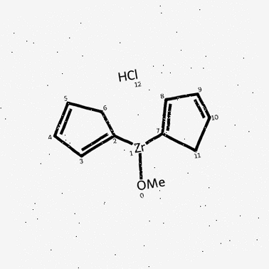 C[O][Zr]([C]1=CC=CC1)[C]1=CC=CC1.Cl